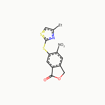 CCc1csc(Sc2cc3c(cc2[N+](=O)[O-])COC3=O)n1